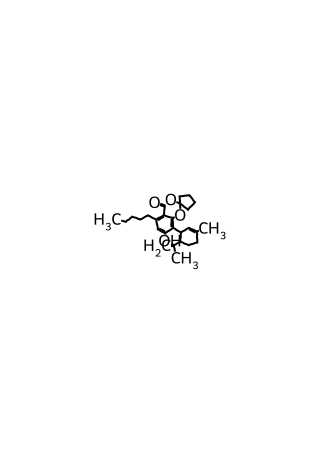 C=C(C)C1CCC(C)=CC1c1c(O)cc(CCCCC)c2c1OC1(CCCC1)OC2=O